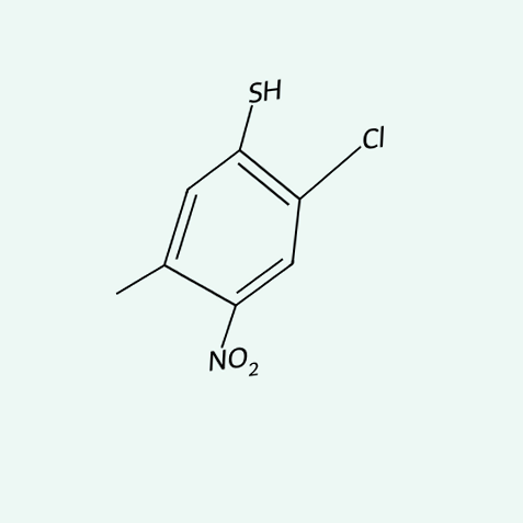 Cc1cc(S)c(Cl)cc1[N+](=O)[O-]